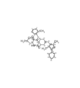 Cc1ccccc1CN1C(=O)C(CC(C)C)NC(=O)C12CCN(Cc1c(C)nn(-c3ccccc3)c1C)CC2